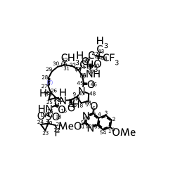 COc1ccc2c(O[C@@H]3C[C@H]4C(=O)N[C@]5(C(=O)NS(=O)(=O)C6(CF)CC6)C[C@H]5/C=C\CC[C@@H](C)C[C@@H](C)[C@H](NC(=O)OC(C)(C)C(F)(F)F)C(=O)N4C3)nc(OC)nc2c1